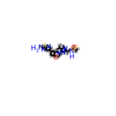 Cc1nc([C@H](C)CN[S+]([O-])C(C)C)nc(N2CCOc3ccc(-c4cnc5sc(N)nc5c4)cc3C2)c1C(C)C